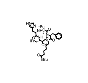 CCCCC(=O)CCCCCN(CC(O)[C@H](CC(C)C)NC(=O)[C@@H](N)Cc1c[nH]cn1)C(=O)[C@H](Cc1ccccc1)NC(=O)OC(C)(C)C